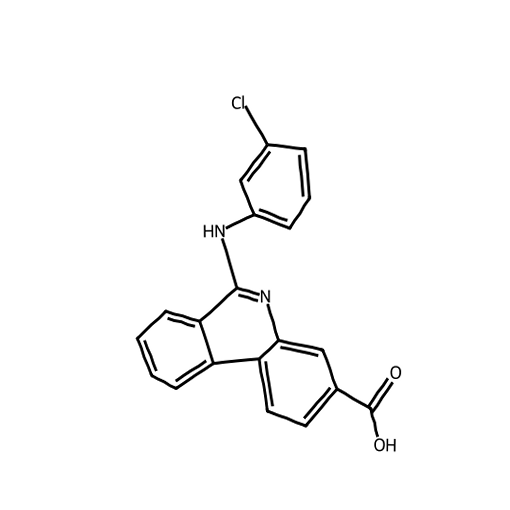 O=C(O)c1ccc2c(c1)nc(Nc1cccc(Cl)c1)c1ccccc12